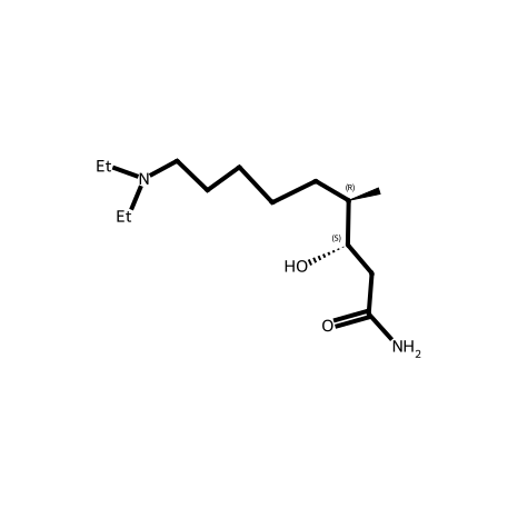 CCN(CC)CCCCC[C@@H](C)[C@@H](O)CC(N)=O